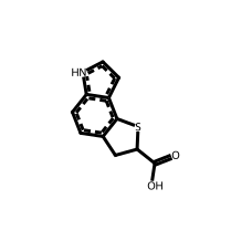 O=C(O)C1Cc2ccc3[nH]ccc3c2S1